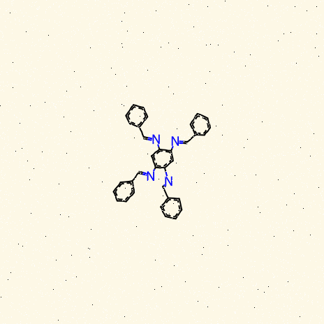 C(=Nc1cc(N=Cc2ccccc2)c(N=Cc2ccccc2)cc1N=Cc1ccccc1)c1ccccc1